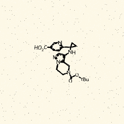 CC(C)(C)OC(=O)N1CCn2ncc(NC3(c4ccc(C(=O)O)cn4)CC3)c2C1